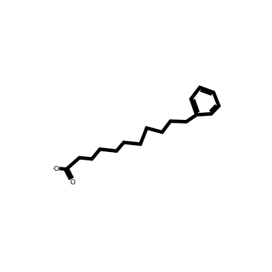 [O]C(=O)CCCCCCCCCCc1ccccc1